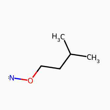 CC(C)CCO[N]